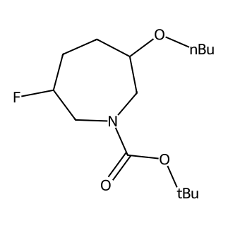 CCCCOC1CCC(F)CN(C(=O)OC(C)(C)C)C1